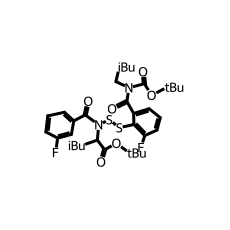 CCC(C)CN(C(=O)OC(C)(C)C)C(=O)c1cccc(F)c1SSN(C(=O)c1cccc(F)c1)C(C(=O)OC(C)(C)C)C(C)CC